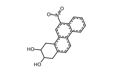 O=[N+]([O-])c1cc2c3c(ccc2c2ccccc12)CC(O)C(O)C3